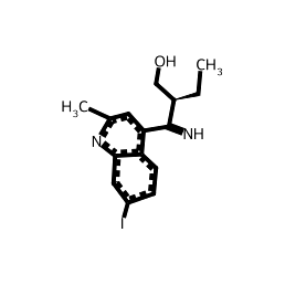 CC[C@H](CO)C(=N)c1cc(C)nc2cc(I)ccc12